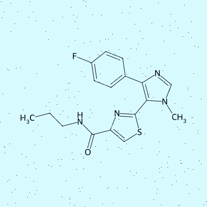 CCCNC(=O)c1csc(-c2c(-c3ccc(F)cc3)ncn2C)n1